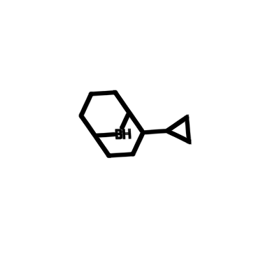 B1C2CCCC1C(C1CC1)CC2